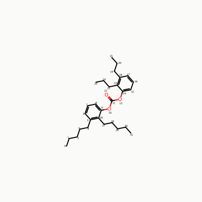 CCCCCc1cccc(OC(=O)Oc2cccc(CCC)c2CCC)c1CCCCC